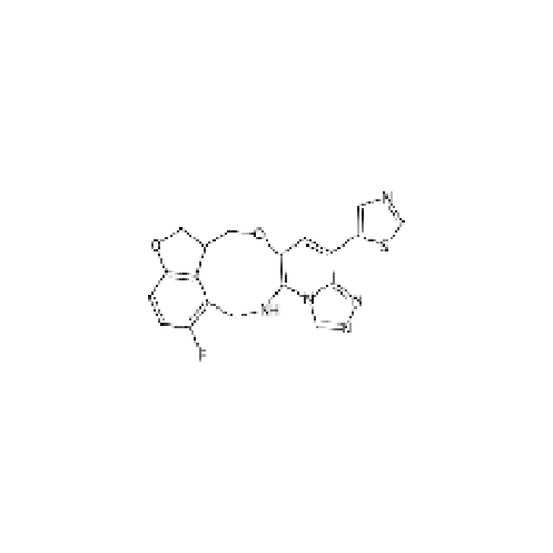 Fc1ccc2c3c1CNc1c(cc(-c4cncs4)c4nncn14)OCC3CO2